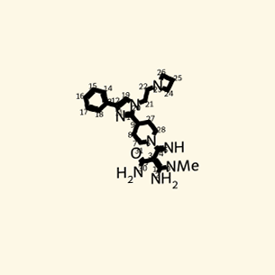 CN/C(N)=C(\C(=N)N1CCC(c2nc(-c3ccccc3)cn2CCN2CCC2)CC1)C(N)=O